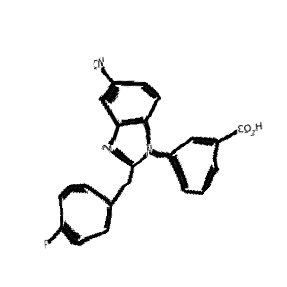 [C-]#[N+]c1ccc2c(c1)nc(Cc1ccc(F)cc1)n2-c1cccc(C(=O)O)c1